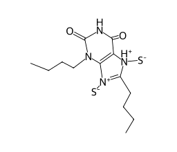 CCCCC1=[N+]([S-])c2c(c(=O)[nH]c(=O)n2CCCC)[NH+]1[S-]